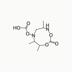 CC1CN(OC(=O)O)C(C)C(C)OC(=O)ON1